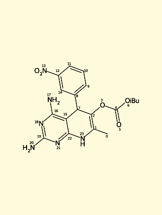 CC1=C(OC(=O)OCC(C)C)C(c2cccc([N+](=O)[O-])c2)c2c(N)nc(N)nc2N1